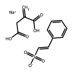 C=C(CC(=O)O)C(=O)O.O=S(=O)([O-])C=Cc1ccccc1.[Na+]